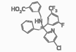 O=C(O)c1cccc(CN[C@@](Cc2ccccc2)(c2cc(F)cc(C(F)(F)F)c2)c2ccc(Cl)cn2)c1